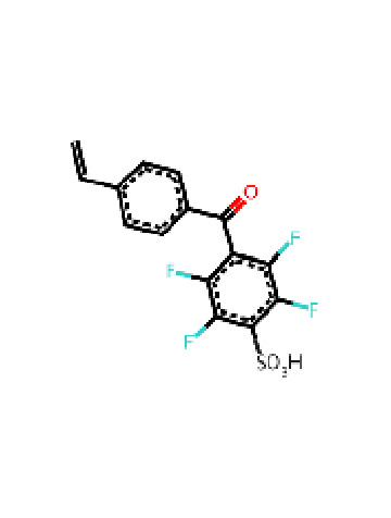 C=Cc1ccc(C(=O)c2c(F)c(F)c(S(=O)(=O)O)c(F)c2F)cc1